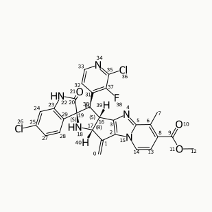 C=C1c2c(nc3c(C)c(C(=O)OC)ccn23)[C@@H]2[C@H]1N[C@@]1(C(=O)Nc3cc(Cl)ccc31)[C@H]2c1ccnc(Cl)c1F